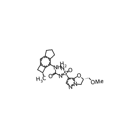 COC[C@@H]1Cn2ncc([S@@](N)(=O)=NC(=O)Nc3c4c(cc5c3[C@@H](C)C5)CCC4)c2O1